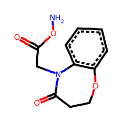 NOC(=O)CN1C(=O)CCOc2ccccc21